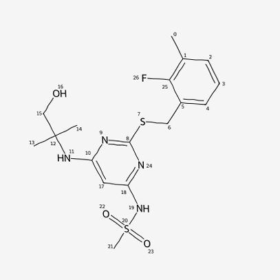 Cc1cccc(CSc2nc(NC(C)(C)CO)cc(NS(C)(=O)=O)n2)c1F